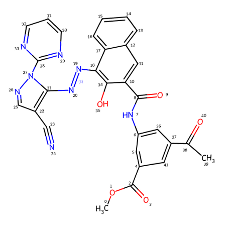 COC(=O)c1cc(NC(=O)c2cc3ccccc3c(/N=N/c3c(C#N)cnn3-c3ncccn3)c2O)cc(C(C)=O)c1